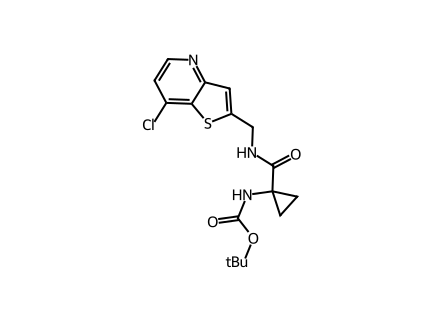 CC(C)(C)OC(=O)NC1(C(=O)NCc2cc3nccc(Cl)c3s2)CC1